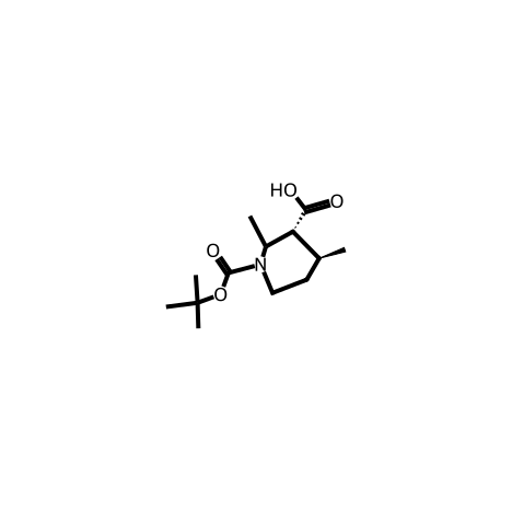 CC1[C@H](C(=O)O)[C@@H](C)CCN1C(=O)OC(C)(C)C